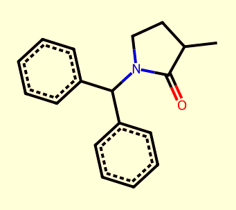 CC1CCN(C(c2ccccc2)c2ccccc2)C1=O